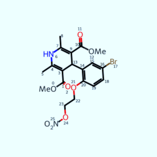 COC(=O)C1=C(C)NC(C)=C(C(=O)OC)C1c1cc(Br)ccc1OCCO[N+](=O)[O-]